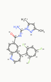 Cc1cc(C)n(/C(N)=N/C(=O)c2ccc3nccc(-c4c(F)cc(F)cc4F)c3c2)n1